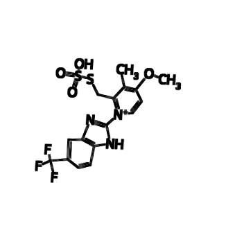 COc1cc[n+](-c2nc3cc(C(F)(F)F)ccc3[nH]2)c(CSS(=O)(=O)O)c1C